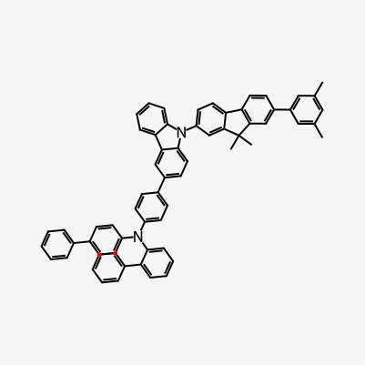 Cc1cc(C)cc(-c2ccc3c(c2)C(C)(C)c2cc(-n4c5ccccc5c5cc(-c6ccc(N(c7ccc(-c8ccccc8)cc7)c7ccccc7-c7ccccc7)cc6)ccc54)ccc2-3)c1